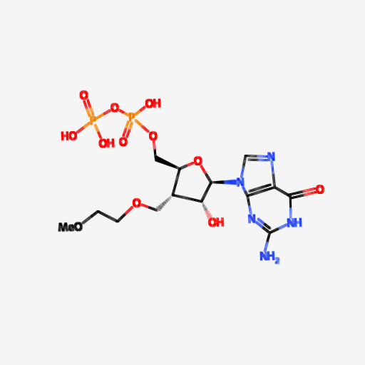 COCCOC[C@H]1[C@@H](O)[C@H](n2cnc3c(=O)[nH]c(N)nc32)O[C@@H]1COP(=O)(O)OP(=O)(O)O